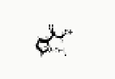 O.O=C(CO)c1ccco1